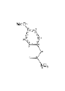 COc1ccc(CC(C)[N+](=O)[O-])cc1